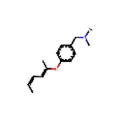 C/C=C\C=C(/C)Oc1ccc(CN(C)C(C)=O)cc1